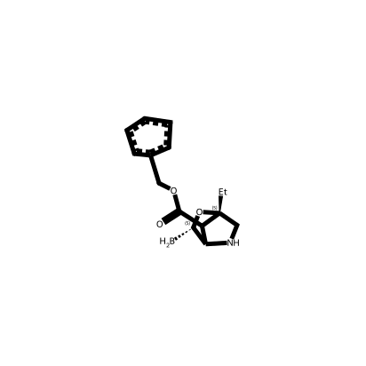 B[C@@H]1O[C@]2(CC)CNC1C2C(=O)OCc1ccccc1